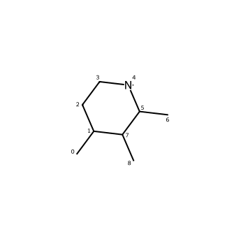 CC1CC[N]C(C)C1C